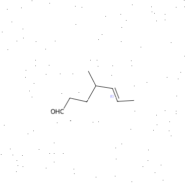 C/C=C/C(C)CCC=O